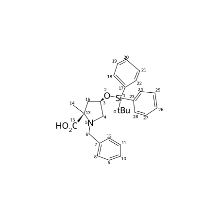 CC(C)(C)[Si](O[C@H]1CN(Cc2ccccc2)[C@@](C)(C(=O)O)C1)(c1ccccc1)c1ccccc1